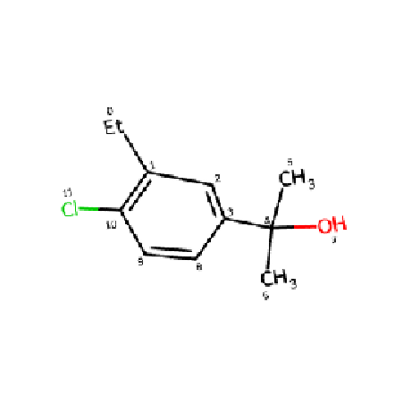 CCc1cc(C(C)(C)O)ccc1Cl